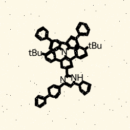 CC(C)(C)C1=CCC(C2CC(C3=NC(C4=CCC(c5ccccc5)C=C4)=CC(C4C=CC=CC4)N3)=CC(C3=CCC(C(C)(C)C)C=C3)=C2n2c3ccc(-c4ccccc4)cc3c3cc(-c4ccccc4)ccc32)C=C1